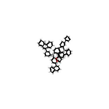 c1ccc(-c2ccc(-c3ccc(N(c4ccc(-c5cccc6ccccc56)cc4)c4cccc(-c5cc6ccccc6c6ccccc56)c4)c(-c4ccccc4)c3)c(-n3c4ccccc4c4ccccc43)c2)cc1